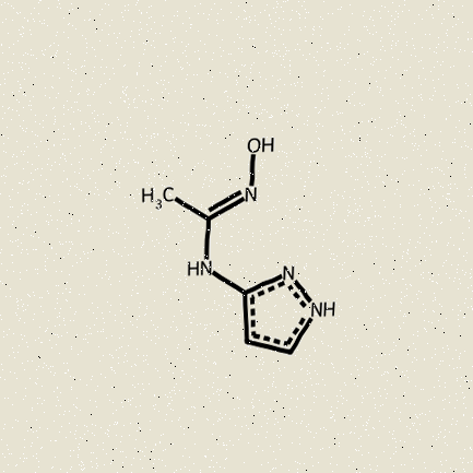 CC(=NO)Nc1cc[nH]n1